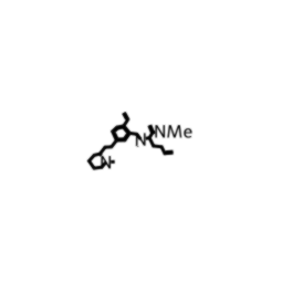 C=CCCC(C(=C)NC)N(C)Cc1cc(CCC2CCCCN2C)ccc1C=C